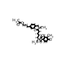 CC(=O)ON=NCc1ccc(CN(C)C(=O)CCCCN(C)S(=O)(=O)c2ccc(Cl)c(C)c2Cl)cc1